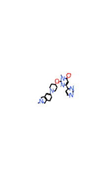 CN1Cc2ccc(N3CCC(Oc4nc(-c5ccncn5)cc(=O)n4C)CC3)cc2C1